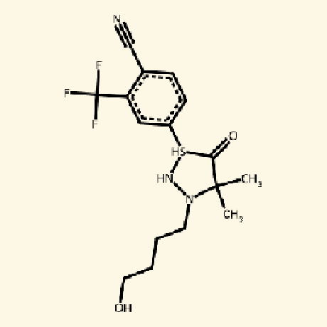 CC1(C)C(=O)[SH](c2ccc(C#N)c(C(F)(F)F)c2)NN1CCCCO